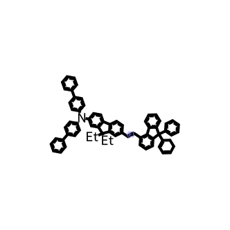 CCC1(CC)c2cc(/C=C/c3cccc4c3-c3ccccc3C4(C3=CC=CCC3)c3ccccc3)ccc2-c2ccc(N(c3ccc(-c4ccccc4)cc3)c3ccc(-c4ccccc4)cc3)cc21